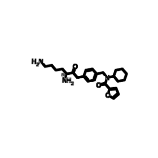 NCCCC[C@H](N)C(=O)Cc1ccc(CN(C(=O)c2ccco2)C2CCCCC2)cc1